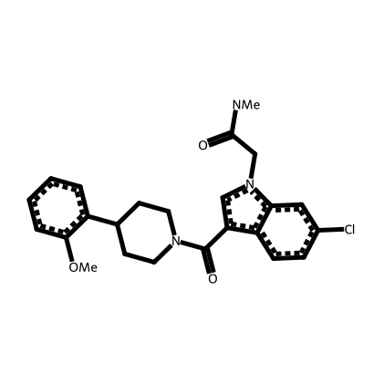 CNC(=O)Cn1cc(C(=O)N2CCC(c3ccccc3OC)CC2)c2ccc(Cl)cc21